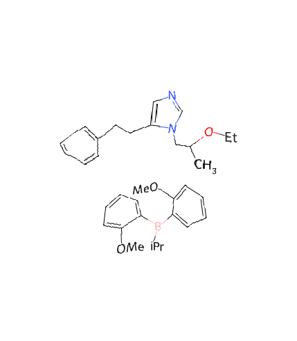 CCOC(C)Cn1cncc1CCc1ccccc1.COc1ccccc1B(c1ccccc1OC)C(C)C